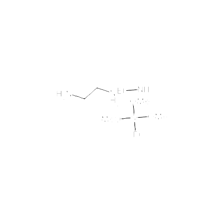 CCN.CC[Si](OC)(OC)OC.NCCN